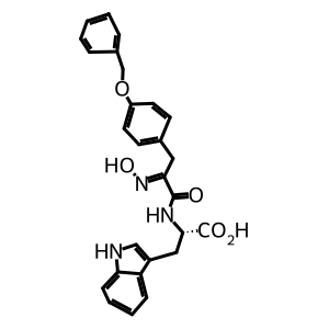 O=C(N[C@@H](Cc1c[nH]c2ccccc12)C(=O)O)C(Cc1ccc(OCc2ccccc2)cc1)=NO